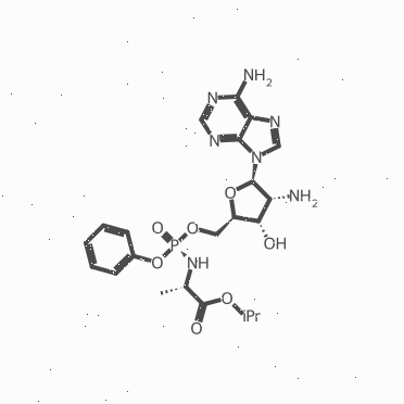 CC(C)OC(=O)[C@H](C)N[P@](=O)(OC[C@H]1O[C@@H](n2cnc3c(N)ncnc32)[C@H](N)[C@@H]1O)Oc1ccccc1